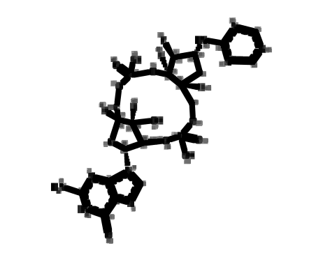 Nc1nc2c(ncn2[C@@H]2O[C@@H]3COP(=O)(S)O[C@@H]4[C@@H](COP(=O)(O)O[C@@H]2[C@@H]3O)C[C@@H](Nc2ncncn2)[C@@H]4F)c(=O)[nH]1